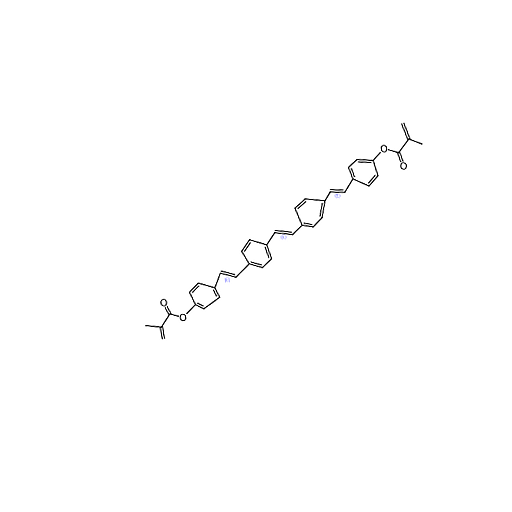 C=C(C)C(=O)Oc1ccc(/C=C/c2ccc(/C=C/c3ccc(/C=C/c4ccc(OC(=O)C(=C)C)cc4)cc3)cc2)cc1